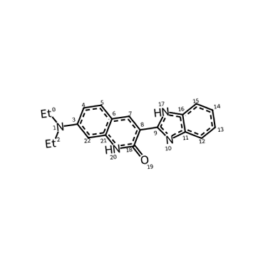 CCN(CC)c1ccc2cc(-c3nc4ccccc4[nH]3)c(=O)[nH]c2c1